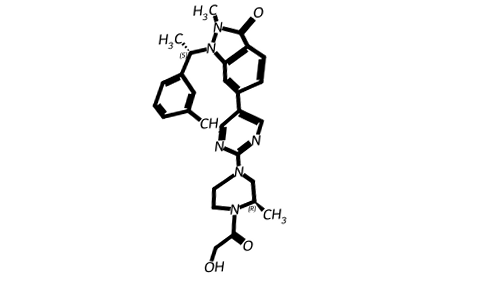 Cc1cccc([C@H](C)n2c3cc(-c4cnc(N5CCN(C(=O)CO)[C@H](C)C5)nc4)ccc3c(=O)n2C)c1